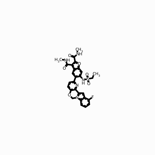 CCS(=O)(=O)Nc1cc2oc(C(=O)NC)c(C(=O)NC)c2cc1-c1ccc2c(n1)-c1cc3c(F)cccc3n1CO2